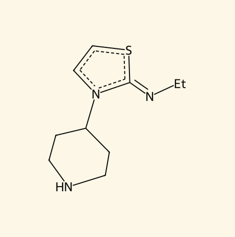 CC/N=c1\sccn1C1CCNCC1